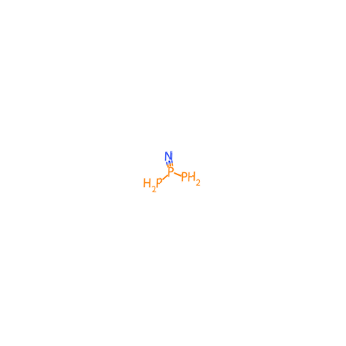 N#P(P)P